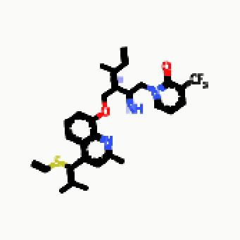 C=CSC(=C(C)C)c1cc(C)nc2c(OC/C(C(=N)Cn3cccc(C(F)(F)F)c3=O)=C(\C)C=C)cccc12